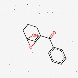 O=C(C1=C2OC2(O)CCC1)c1ccccc1